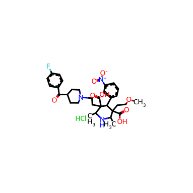 COCCC1(C(=O)O)C(C)NC(C)C(CCN2CCC(C(=O)c3ccc(F)cc3)CC2)(C(=O)O)C1c1cccc([N+](=O)[O-])c1.Cl